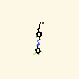 CCCCc1ccc(C=NN=Cc2cc(F)c(F)c(F)c2)c(F)c1